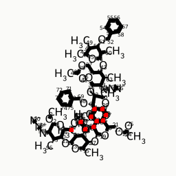 CO[C@@H]1OC(COC(C)=O)[C@@H](O[C@@H]2OC(C)[C@H](O[C@@H]3OC(COC(C)=O)[C@@H](O[C@@H]4OC(C)[C@H](O[C@@H]5OC(COC(C)=O)[C@@H](O[C@@H]6OC(C)[C@@H](C)[C@@H](OCc7ccccc7)C6C)[C@H](C)C5N=[N+]=[N-])[C@@H](OCc5ccccc5)C4C)[C@H](C)C3N=[N+]=[N-])[C@@H](OCc3ccccc3)C2C)[C@H](C)C1N=[N+]=[N-]